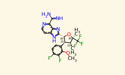 COc1c([C@H]2[C@H](c3nc4c(C(=N)N)nccc4[nH]3)O[C@@](C)(C(F)(F)F)[C@H]2C)ccc(F)c1F